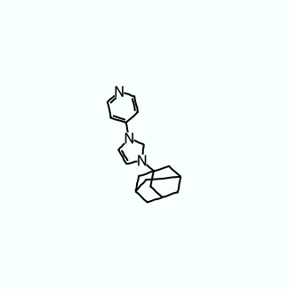 C1=CN(C23CC4CC(CC(C4)C2)C3)CN1c1ccncc1